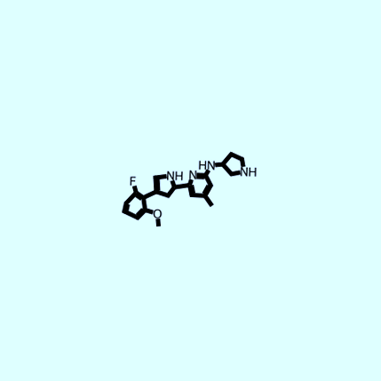 COc1cccc(F)c1C1=CNC(c2cc(C)cc(NC3CCNC3)n2)C1